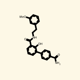 COc1cccc(CCNC(=O)c2cccc(-c3ccc(C(N)=O)cc3)c2O)c1